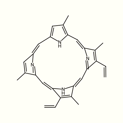 C=CC1=C(C)c2cc3[nH]c(cc4nc(cc5[nH]c(cc1n2)c(C)c5C=C)C(C)=C4)cc3C